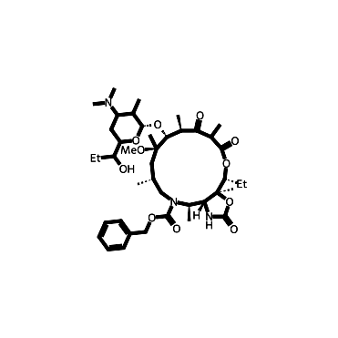 CCC(O)C1CC(N(C)C)C(C)[C@H](O[C@@H]2[C@@H](C)C(=O)C(C)C(=O)O[C@H](CC)[C@@]3(C)OC(=O)N[C@@H]3[C@@H](C)N(C(=O)OCc3ccccc3)C[C@H](C)C[C@@]2(C)OC)O1